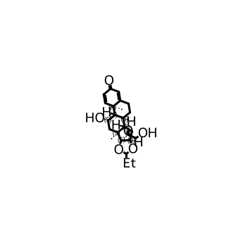 CCC1O[C@@H]2C[C@H]3[C@@H]4CCC5=CC(=O)C=C[C@]5(C)[C@H]4[C@@H](O)C[C@]3(C)[C@]2(C(=O)CO)O1